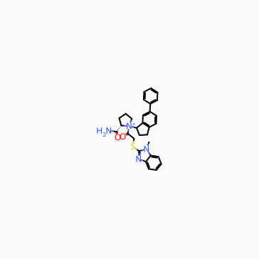 Cn1c(SCC(=O)[N+]2(C3CCc4ccc(-c5ccccc5)cc43)CCC[C@H]2C(N)=O)nc2ccccc21